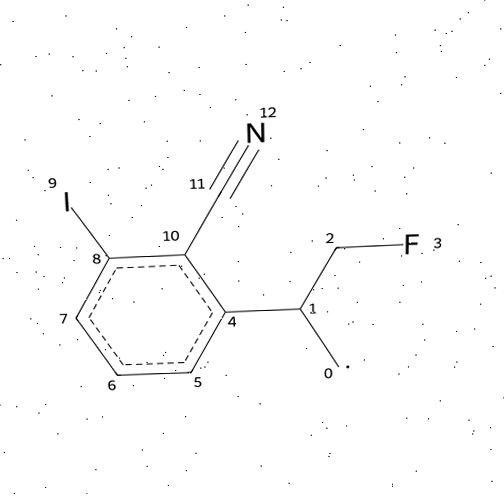 [CH2]C(CF)c1cccc(I)c1C#N